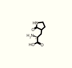 N[C@@H](CC1CCNC1=O)C(=O)O